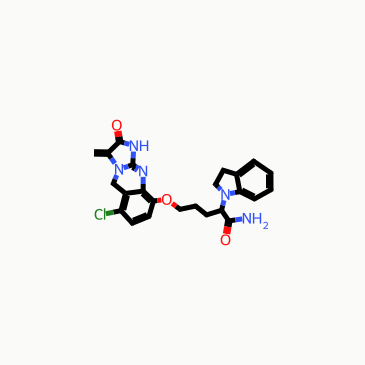 C=c1c(=O)[nH]c2n1Cc1c(Cl)ccc(OCCCC(C(N)=O)N3CCc4ccccc43)c1N=2